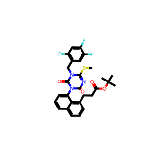 CSc1nc(=O)n(-c2cccc3cccc(CCC(=O)OC(C)(C)C)c23)c(=O)n1Cc1cc(F)c(F)cc1F